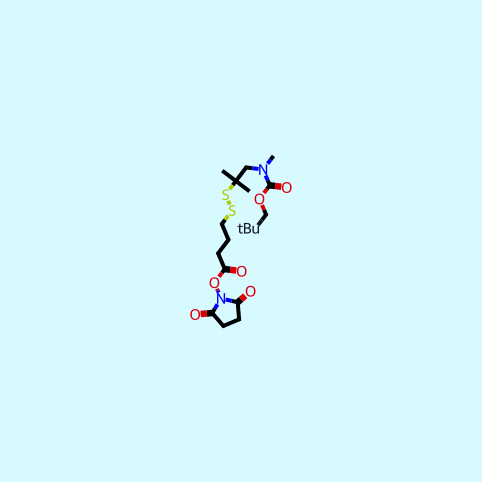 CN(CC(C)(C)SSCCCC(=O)ON1C(=O)CCC1=O)C(=O)OCC(C)(C)C